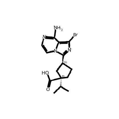 CC(C)[C@@]1(C(=O)O)CC[C@H](c2nc(Br)c3c(N)nccn23)C1